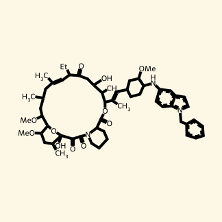 CCC1/C=C(\C)CC(C)CC(OC)C2OC(O)(C(=O)C(=O)N3CCCCC3C(=O)OC(C(C)=CC3CCC(Nc4ccc5c(ccn5Cc5ccccc5)c4)C(OC)C3)C(C)C(O)CC1=O)C(C)CC2OC